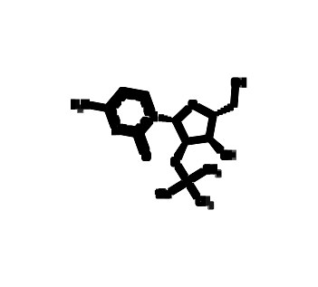 CC(C)(C)[Si](C)(C)O[C@@H]1[C@H](O)[C@@H](CO)O[C@H]1n1ccc(N)nc1=O